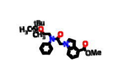 COC(=O)c1cccc2c1ccn2CC(=O)N(CCO[Si](C)(C)C(C)(C)C)c1ccccc1